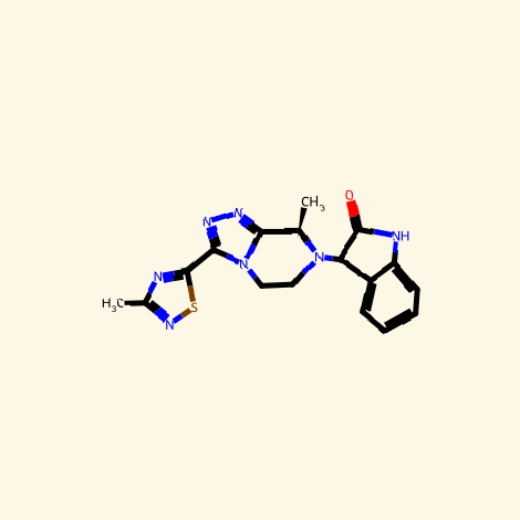 Cc1nsc(-c2nnc3n2CCN(C2C(=O)Nc4ccccc42)[C@@H]3C)n1